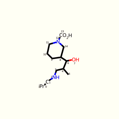 CC(C)CNCC(C)C(O)C1CCCN(C(=O)O)C1